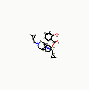 C1CCC2(C1)C1CN(CC3CC3)CC2CN(CC2CC2)C1.O=C(O)c1ccccc1O